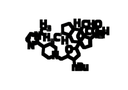 CCCCC1CC(C23C[C@@H]4[C@H](C)CC[C@H]4C4(C=O)CC2C=C(C(C)C)C34C(=O)O)OC1CN1CCC(c2nccn2C)CC1